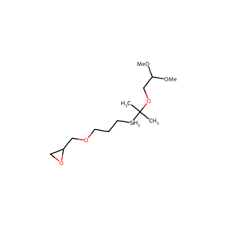 COC(COC(C)(C)[SiH2]CCCOCC1CO1)OC